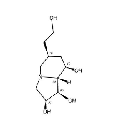 OCC[C@H]1C[C@@H](O)[C@@H]2[C@@H](O)[C@@H](O)CN2C1